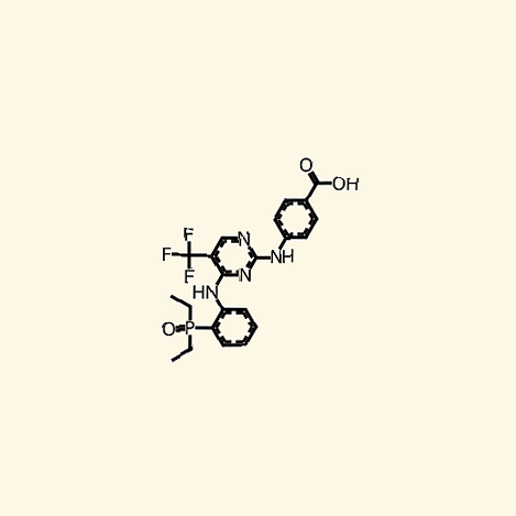 CCP(=O)(CC)c1ccccc1Nc1nc(Nc2ccc(C(=O)O)cc2)ncc1C(F)(F)F